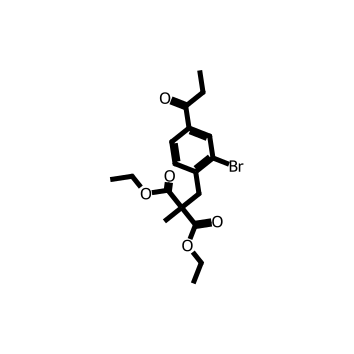 CCOC(=O)C(C)(Cc1ccc(C(=O)CC)cc1Br)C(=O)OCC